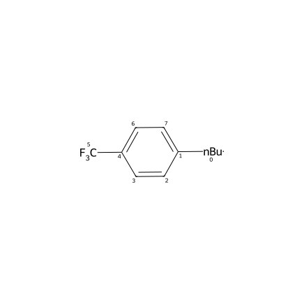 CCC[CH]c1ccc(C(F)(F)F)cc1